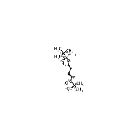 CC(C)(C)[S+]([O-])N=CCCO[Si](C)(C)C(C)(C)C